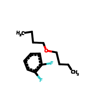 CCCCOCCCC.Fc1ccccc1F